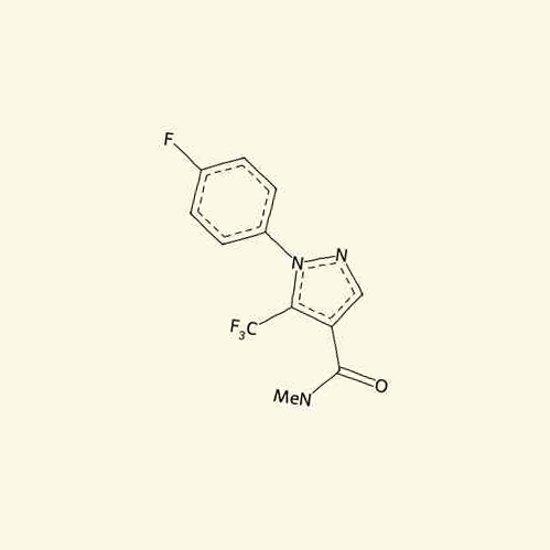 CNC(=O)c1cnn(-c2ccc(F)cc2)c1C(F)(F)F